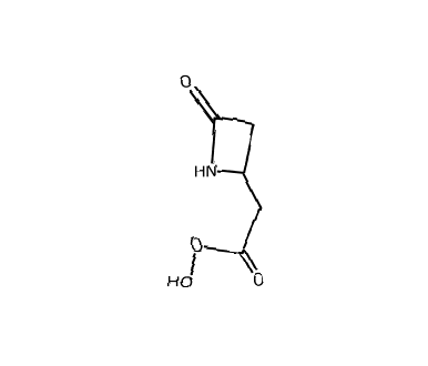 O=C1CC(CC(=O)OO)N1